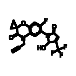 C#CCN1C(=O)C2(CC2)Oc2cc(F)c(N3C(=O)C=C(C(F)(F)F)C3O)cc21